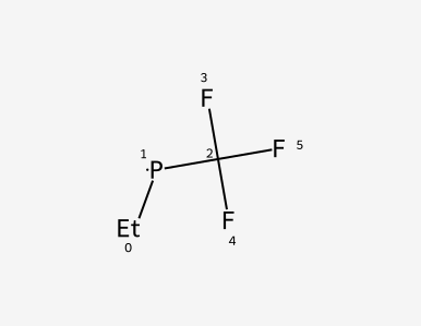 CC[P]C(F)(F)F